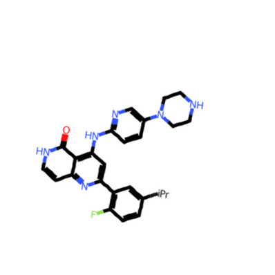 CC(C)c1ccc(F)c(-c2cc(Nc3ccc(N4CCNCC4)cn3)c3c(=O)[nH]ccc3n2)c1